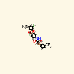 CC(C)(C(=O)N[C@H]1CC[C@@](F)(S(=O)(=O)c2cc(F)cc(C(F)(F)F)c2)CC1)S(=O)(=O)c1cccc(C(F)(F)F)c1